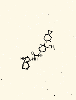 Cc1cc(NC(=O)Nc2c[nH]c3ccccc23)cnc1N1CCC2(CC1)CC2